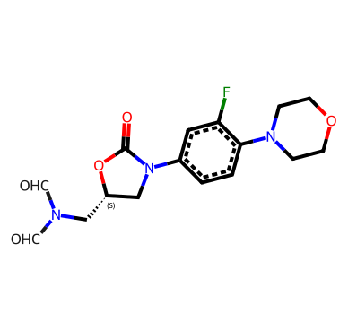 O=CN(C=O)C[C@H]1CN(c2ccc(N3CCOCC3)c(F)c2)C(=O)O1